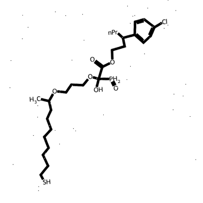 CCCC(CCOC(=O)C(O)(OCCCOC(C)CCCCCCCCS)[PH2]=O)c1ccc(Cl)cc1